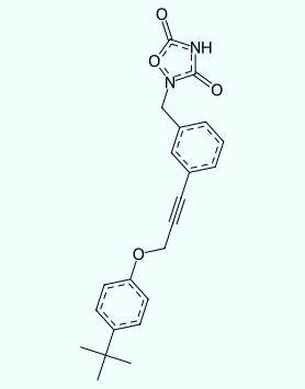 CC(C)(C)c1ccc(OCC#Cc2cccc(Cn3oc(=O)[nH]c3=O)c2)cc1